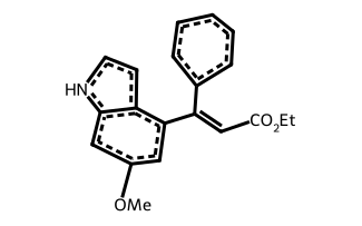 CCOC(=O)C=C(c1ccccc1)c1cc(OC)cc2[nH]ccc12